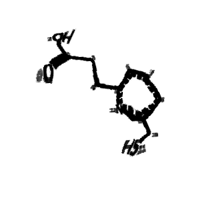 O=C(O)CCc1cccc(CS)n1